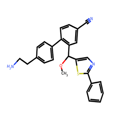 COC(c1cnc(-c2ccccc2)s1)c1cc(C#N)ccc1-c1ccc(CCN)cc1